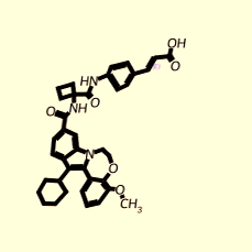 COc1cccc2c1OCCn1c-2c(C2CCCCC2)c2ccc(C(=O)NC3(C(=O)Nc4ccc(/C=C/C(=O)O)cc4)CCC3)cc21